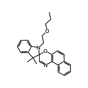 CCCOCCN1c2ccccc2C(C)(C)C12C=Nc1c(ccc3ccccc13)O2